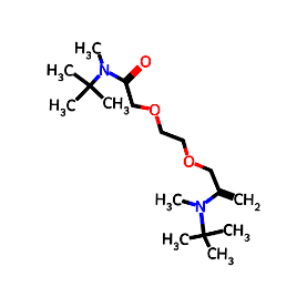 C=C(COCCOCC(=O)N(C)C(C)(C)C)N(C)C(C)(C)C